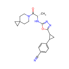 C[C@H](Nc1nnc(C2CC2c2ccc(C#N)cc2)o1)C(=O)N1CCC2(CC1)CC2